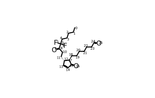 CCCCCC(F)(F)C(=O)CC[C@H]1C=CC(=O)[C@@H]1CCCCCCC=O